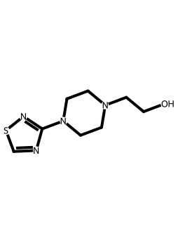 OCCN1CCN(c2ncsn2)CC1